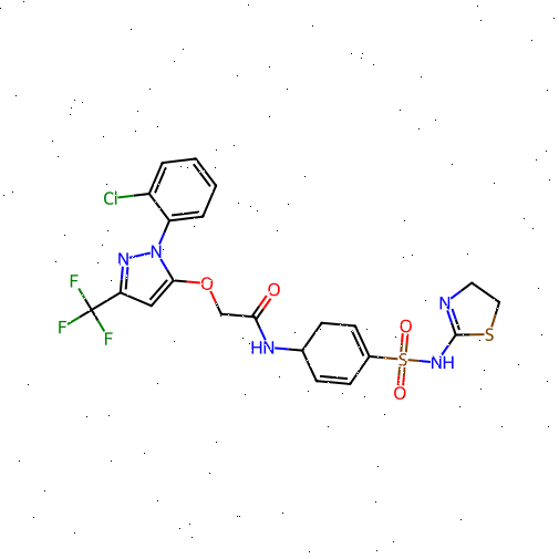 O=C(COc1cc(C(F)(F)F)nn1-c1ccccc1Cl)NC1C=CC(S(=O)(=O)NC2=NCCS2)=CC1